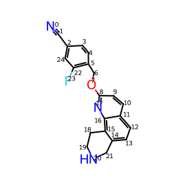 N#Cc1ccc(COc2ccc3ccc4c(c3n2)CCNC4)c(F)c1